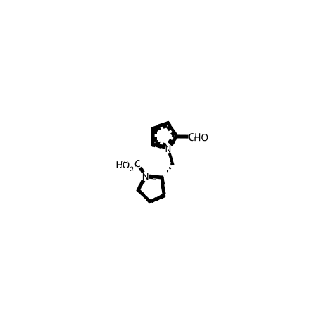 O=Cc1cccn1C[C@@H]1CCCN1C(=O)O